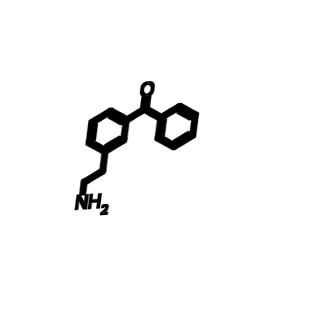 NCCc1cccc(C(=O)c2ccccc2)c1